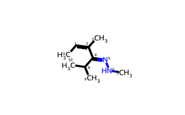 C/C=C(C)\C(=N\NC)C(C)C